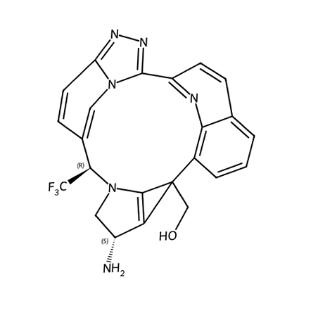 N[C@@H]1CN2C3=C1C3(CO)c1cccc3ccc(nc13)-c1nnc3ccc(cn13)[C@@H]2C(F)(F)F